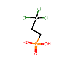 O=P(O)(O)C[CH2][Ge]([Cl])([Cl])[Cl]